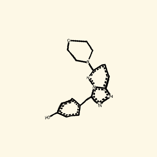 Oc1ccc(-c2nnc3ccc(N4CCOCC4)nn23)cc1